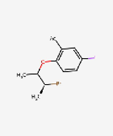 CC(=O)c1cc(I)ccc1OC(C)[C@H](C)Br